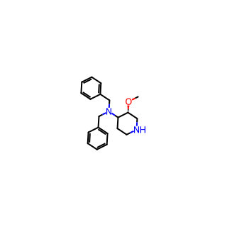 CO[C@H]1CNCCC1N(Cc1ccccc1)Cc1ccccc1